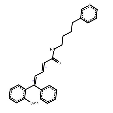 COc1ccccc1/C(=C/C=C/C(=O)NCCCCc1cccnc1)c1ccccc1